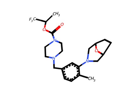 Cc1ccc(CN2CCN(C(=O)OC(C)C(F)(F)F)CC2)cc1N1CC2CCC(C1)O2